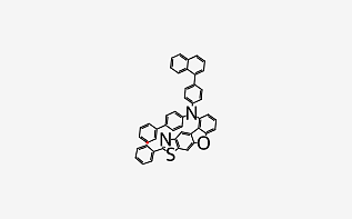 c1ccc(-c2ccc(N(c3ccc(-c4cccc5ccccc45)cc3)c3cccc4oc5cc6sc(-c7ccccc7)nc6cc5c34)cc2)cc1